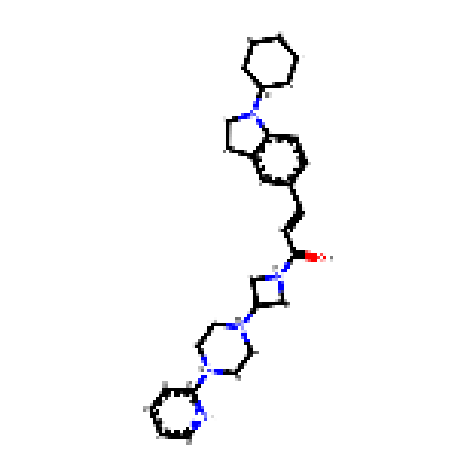 O=C(C=Cc1ccc2c(c1)CCN2C1CCCCC1)N1CC(N2CCN(c3ccccn3)CC2)C1